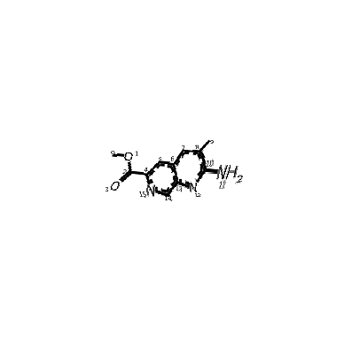 COC(=O)c1cc2cc(C)c(N)nc2cn1